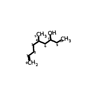 C=CCCC(C)CC(O)CC